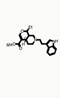 CCC1OC=C(C(=O)OC)[C@H]2CCN(CCc3c[nH]c4ccccc34)CC12